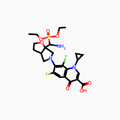 CCOP(=O)(OCC)C(N)C12CN(c3c(F)cc4c(=O)c(C(=O)O)cn(C5CC5)c4c3F)CC1CCO2